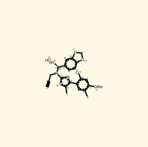 C#CCN(c1nc(-c2cc(C)c(OC)cc2Cl)c(C)s1)[C@@H](CCC)c1ccc2c(c1)OCO2.Cl